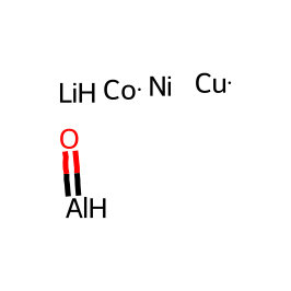 [Co].[Cu].[LiH].[Ni].[O]=[AlH]